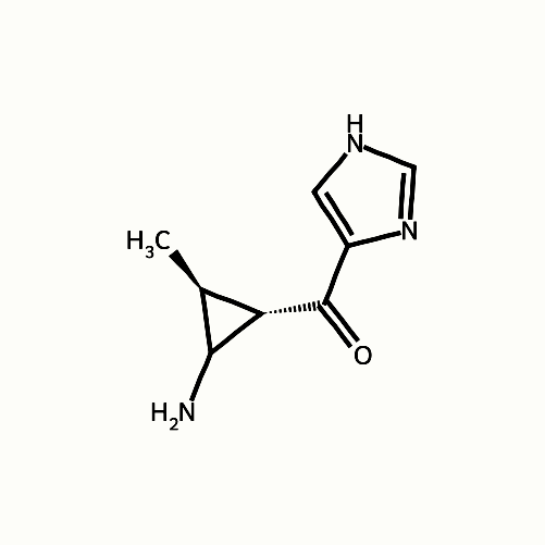 C[C@@H]1C(N)[C@H]1C(=O)c1c[nH]cn1